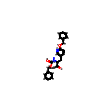 COC(=O)C(Cc1ccc(OCc2ccccc2)nc1)NC(=O)OCc1ccccc1